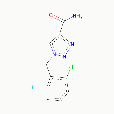 NC(=O)c1cn(Cc2c(F)cccc2Cl)nn1